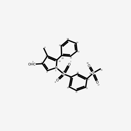 Cc1c(C=O)cn(S(=O)(=O)c2cccc(S(C)(=O)=O)c2)c1-c1ccccc1